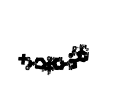 CC(C)(C)OC(=O)N1CCC(C(O)(c2ccc(-n3cc(-c4ccnc(N)c4[N+](=O)[O-])cn3)nc2)C(F)(F)F)CC1